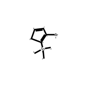 [CH3][Sn]([CH3])([CH3])[C]1=C(Br)C=CC1